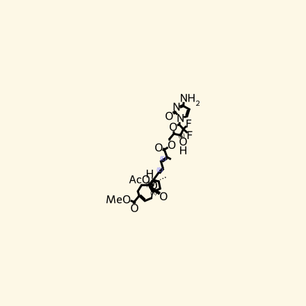 COC(=O)C1=CC[C@@]23CC[C@@H]([C@@](C)(/C=C/C=C(\C)C(=O)OCC4OC(n5ccc(N)nc5=O)C(F)(F)[C@H]4O)OC2=O)[C@@]3(OC(C)=O)CC1